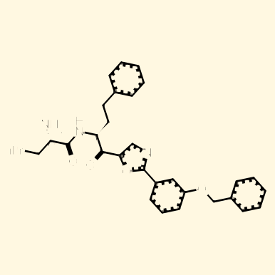 CC(C)C[C@H](N)C(=O)N[C@@H](CCc1ccccc1)C(=O)c1cnc(-c2cccc(OCc3ccccc3)c2)o1